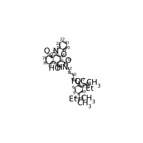 CCC(C)(C)c1ccc(OCCCCNC(=O)c2c(Oc3ccccc3[N+](=O)[O-])cc3ccccc3c2O)c(C(C)(C)CC)c1